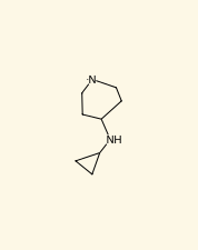 C1CC(NC2CC2)CC[N]1